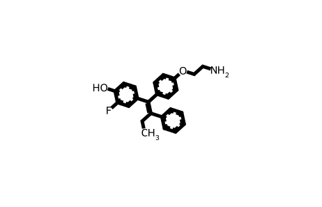 CC/C(=C(/c1ccc(OCCN)cc1)c1ccc(O)c(F)c1)c1ccccc1